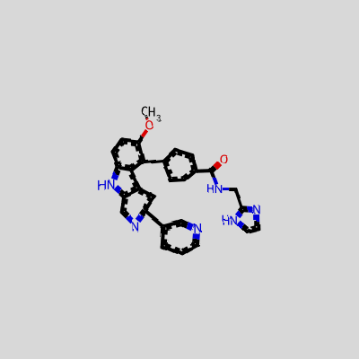 COc1ccc2[nH]c3cnc(-c4cccnc4)cc3c2c1-c1ccc(C(=O)NCc2ncc[nH]2)cc1